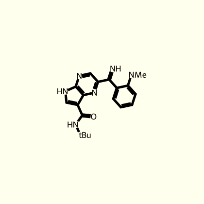 CNc1ccccc1C(=N)c1cnc2[nH]cc(C(=O)NC(C)(C)C)c2n1